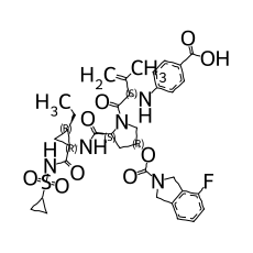 C=C(C)[C@H](Nc1ccc(C(=O)O)cc1)C(=O)N1C[C@H](OC(=O)N2Cc3cccc(F)c3C2)C[C@H]1C(=O)N[C@]1(C(=O)NS(=O)(=O)C2CC2)C[C@H]1CC